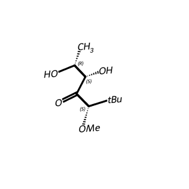 CO[C@H](C(=O)[C@@H](O)[C@@H](C)O)C(C)(C)C